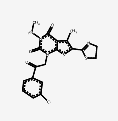 CNn1c(=O)c2c(C)c(C3=NCCS3)sc2n(CC(=O)c2cccc(Cl)c2)c1=O